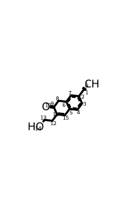 C#Cc1ccc2c(c1)CC(=O)C(CCO)=C2